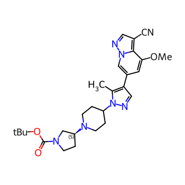 COc1cc(-c2cnn(C3CCN([C@H]4CCN(C(=O)OC(C)(C)C)C4)CC3)c2C)cn2ncc(C#N)c12